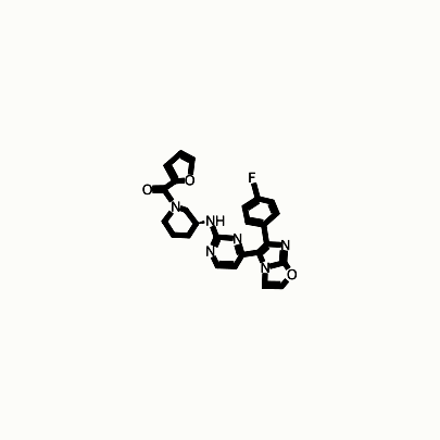 O=C(c1ccco1)N1CCC[C@@H](Nc2nccc(-c3c(-c4ccc(F)cc4)nc4occn34)n2)C1